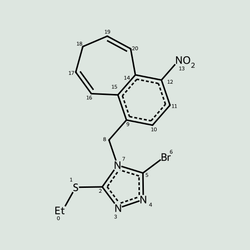 CCSc1nnc(Br)n1Cc1ccc([N+](=O)[O-])c2c1C=CCC=C2